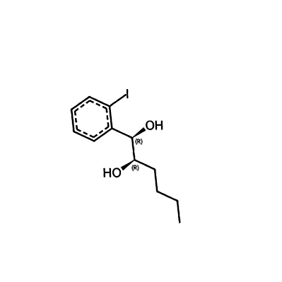 CCCC[C@@H](O)[C@H](O)c1ccccc1I